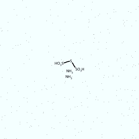 N.N.O=S(=O)(O)SS(=O)(=O)O